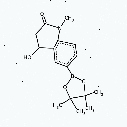 CN1C(=O)CC(O)c2cc(B3OC(C)(C)C(C)(C)O3)ccc21